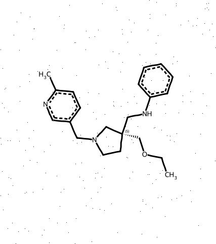 CCOC[C@]1(CNc2ccccc2)CCN(Cc2ccc(C)nc2)C1